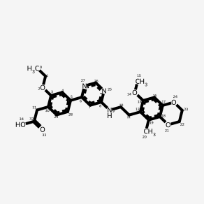 CCOc1cc(-c2cc(NCCc3c(OC)cc4c(c3C)OCCO4)ncn2)ccc1CC(=O)O